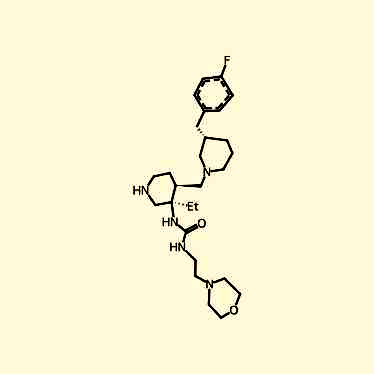 CC[C@]1(NC(=O)NCCN2CCOCC2)CNCC[C@H]1CN1CCC[C@@H](Cc2ccc(F)cc2)C1